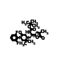 C[C@@H]1C[C@@H]([C@H](CN2CC(=O)N(c3c(F)cccc3F)CC2(C)C)NC(=O)OC(C)(C)C)OC1=O